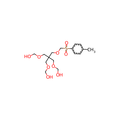 Cc1ccc(S(=O)(=O)COCC(COCO)(COCO)COCO)cc1